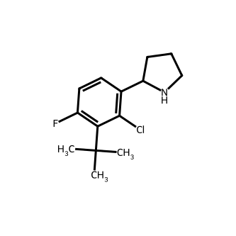 CC(C)(C)c1c(F)ccc(C2CCCN2)c1Cl